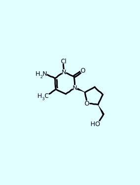 CC1=C(N)N(Cl)C(=O)N([C@H]2CC[C@@H](CO)O2)C1